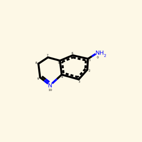 Nc1ccc2c(c1)CCC=N2